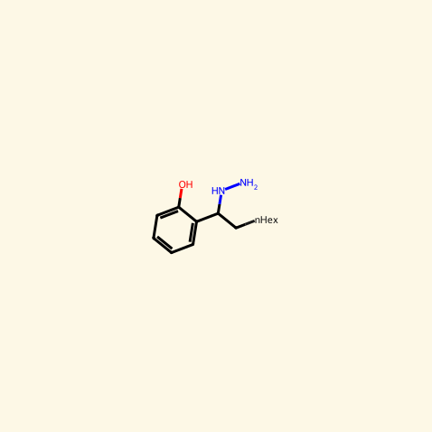 CCCCCCCC(NN)c1ccccc1O